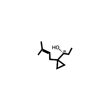 CC[C@@H](O)C1(CC=C(C)C)CC1